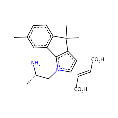 Cc1ccc2c(c1)-c1c(ccn1C[C@H](C)N)C2(C)C.O=C(O)/C=C/C(=O)O